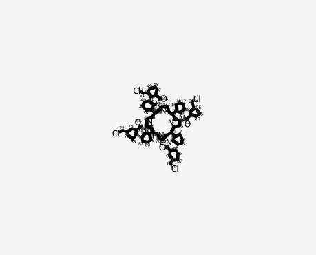 O=C(Nc1ccccc1-c1c2nc(c(-c3ccccc3NC(=O)c3cccc(CCl)c3)c3ccc([nH]3)c(-c3ccccc3NC(=O)c3cccc(CCl)c3)c3nc(c(-c4ccccc4NC(=O)c4cccc(CCl)c4)c4ccc1[nH]4)C=C3)C=C2)c1cccc(CCl)c1